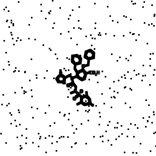 Cc1cc(C)c(S(=O)(=O)N(C)CC(=O)N(Cc2nccn2C)c2ccc(C(=O)O)c(OCc3ccccc3)c2Cc2ccccc2)c(C)c1